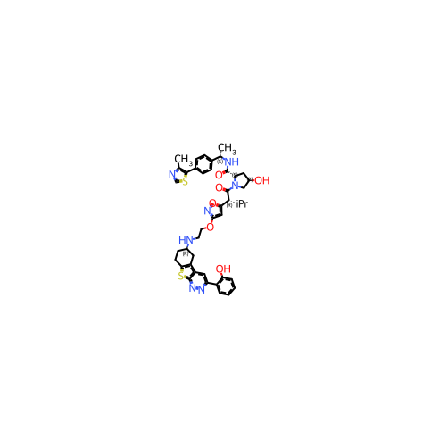 Cc1ncsc1-c1ccc([C@H](C)NC(=O)[C@@H]2C[C@@H](O)CN2C(=O)[C@@H](c2cc(OCCN[C@@H]3CCc4sc5nnc(-c6ccccc6O)cc5c4C3)no2)C(C)C)cc1